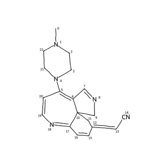 CN1CCN(C2=C3C=NCC34C/C(=C\C#N)C=CC4=NC=C2)CC1